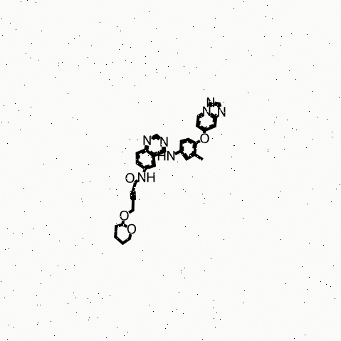 Cc1cc(Nc2ncnc3ccc(NC(=O)C#CCOC4CCCCO4)cc23)ccc1Oc1ccn2ncnc2c1